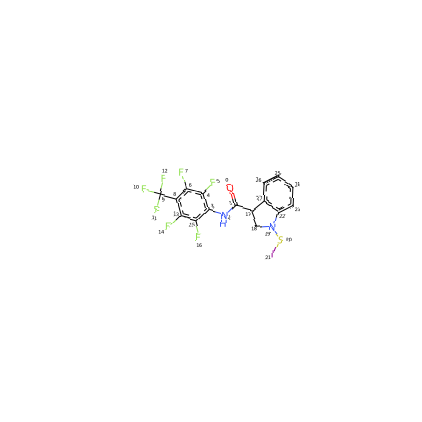 O=C(Nc1c(F)c(F)c(C(F)(F)F)c(F)c1F)C1CN(SI)c2ccccc21